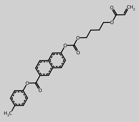 C=CC(=O)OCCCCOC(=O)Oc1ccc2cc(C(=O)Oc3ccc(C)cc3)ccc2c1